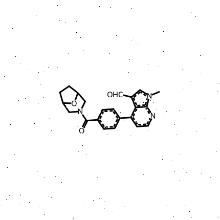 Cn1cc(C=O)c2c(-c3ccc(C(=O)N4CC5CCC(C4)O5)cc3)ccnc21